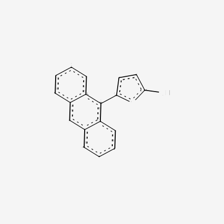 Cc1ccc(-c2c3ccccc3cc3ccccc23)s1